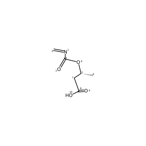 C=NC(=O)O[C@H](C)CC(=O)O